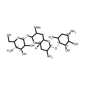 CNC1CC2O[C@H](O[C@@H]3C(N)C[C@@H](N)C(O)[C@H]3O)C(N)C[C@@H]2OC1O[C@H]1OC(CO)[C@@H](N)[C@H](O)C1O